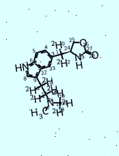 [2H]C([2H])(c1ccc2[nH]cc(C([2H])([2H])C([2H])([2H])N(C)C([2H])([2H])[2H])c2c1)[C@H]1COC(=O)N1